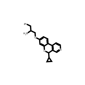 CC(C)CC(N)COc1ccc2c(c1)OC(C1CC1)c1cnccc1-2